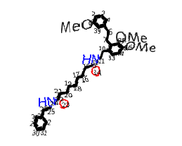 COc1cccc(CCc2c(CCNC(=O)CCCCCCCC(=O)NCCc3ccccc3)ccc(OC)c2OC)c1